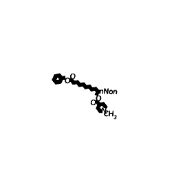 CCCCCCCCCC(CCCCCCCCC(=O)OCc1ccccc1)COC(=O)C1CCN(C)CC1